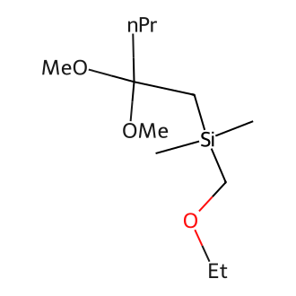 CCCC(C[Si](C)(C)COCC)(OC)OC